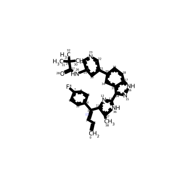 C=C/C=C(/c1ccc(F)cc1)c1nc(-c2n[nH]c3ccc(-c4cncc(NC(=O)C(C)(C)C)c4)cc23)[nH]c1C